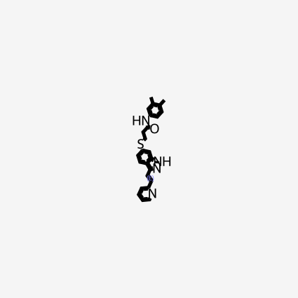 Cc1ccc(NC(=O)CCSc2ccc3c(/C=C/c4ccccn4)n[nH]c3c2)cc1C